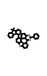 CC1(C)c2ccccc2-c2c(-c3ccc4sc5cccc(-c6nc(-c7ccccc7)nc7ccccc67)c5c4c3)cccc21